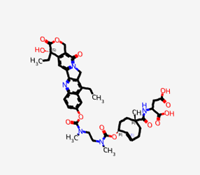 CCc1c2c(nc3ccc(OC(=O)N(C)CCN(C)C(=O)O[C@H]4/C=C/CC[C@@](C)(C(=O)NC(CC(=O)O)C(=O)O)CC4)cc13)-c1cc3c(c(=O)n1C2)COC(=O)[C@]3(O)CC